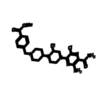 CCC1CN(c2nc(N)c(C(N)=O)nc2Cl)CCN1C1CCN(Cc2ccc(C(=O)OC)cc2)CC1